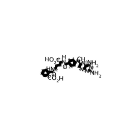 CN(c1ccc(C(=O)N[C@@H](CCCNC(=O)c2ccccc2C(=O)O)C(=O)O)cc1)c1cnc2nc(N)nc(N)c2n1